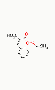 O=C(O)C(=Cc1ccccc1)C(=O)OOC[SiH3]